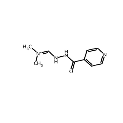 C[N+](C)=CNNC(=O)c1ccncc1